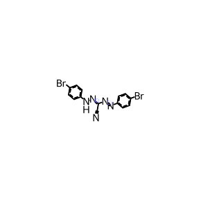 N#CC(/N=N/c1ccc(Br)cc1)=N\Nc1ccc(Br)cc1